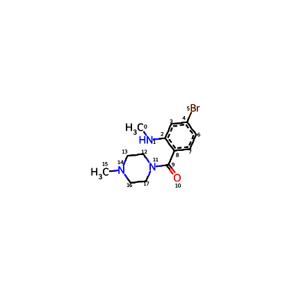 CNc1cc(Br)ccc1C(=O)N1CCN(C)CC1